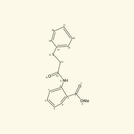 COC(=O)c1ccccc1NC(=O)CSc1ccccc1